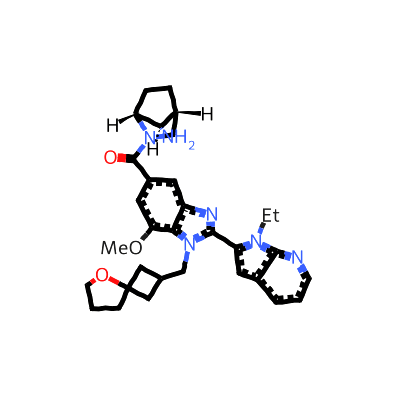 CCn1c(-c2nc3cc(C(=O)N4C[C@H]5CC[C@@H]4[C@@H]5N)cc(OC)c3n2CC2CC3(CCCO3)C2)cc2cccnc21